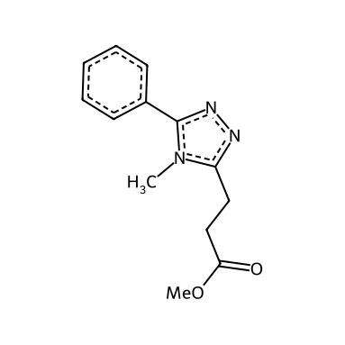 COC(=O)CCc1nnc(-c2ccccc2)n1C